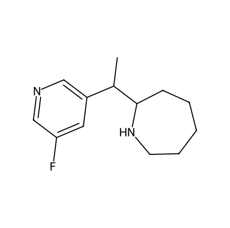 CC(c1cncc(F)c1)C1CCCCCN1